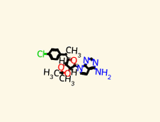 CC(c1ccc(Cl)cc1)[C@H]1O[C@@H](n2ccc3c(N)ncnc32)[C@@H]2OC(C)(C)O[C@@H]21